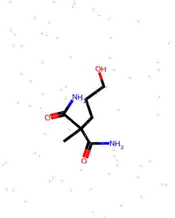 CC(CCCO)(C(N)=O)C(N)=O